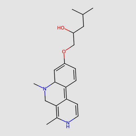 CC1=C2CN(C)C3C=C(OCC(O)CC(C)C)C=CC3=C2C=CN1